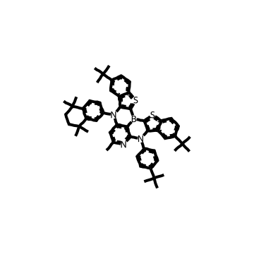 Cc1cc2c3c(n1)N(c1ccc(C(C)(C)C)cc1)c1c(sc4ccc(C(C)(C)C)cc14)B3c1sc3ccc(C(C)(C)C)cc3c1N2c1ccc2c(c1)C(C)(C)CCC2(C)C